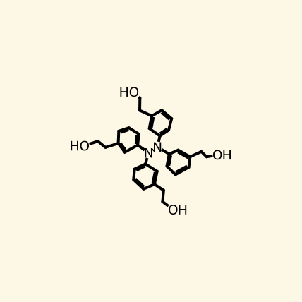 OCCc1cccc(N(c2cccc(CCO)c2)N(c2cccc(CCO)c2)c2cccc(CCO)c2)c1